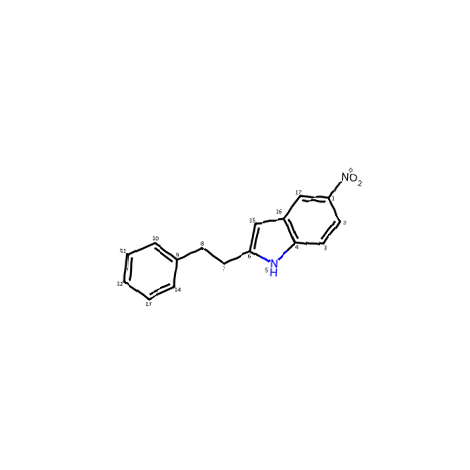 O=[N+]([O-])c1ccc2[nH]c(CCc3ccccc3)cc2c1